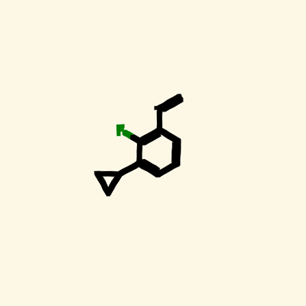 C=[C]c1cccc(C2CC2)c1F